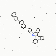 c1ccc2cc(-c3ccc4cc(-c5ccc(-c6nc7c8ccccc8c8ccccc8c7c7ccccc67)cc5)ccc4c3)ccc2c1